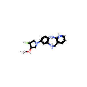 COC1CN(c2ccc3c(c2)NCc2cccnc2N3)CC1F